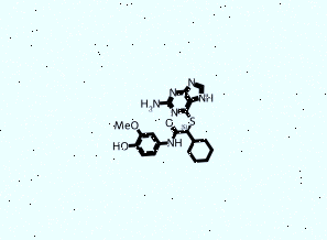 COc1cc(NC(=O)[C@@H](Sc2nc(N)nc3nc[nH]c23)C2CCCCC2)ccc1O